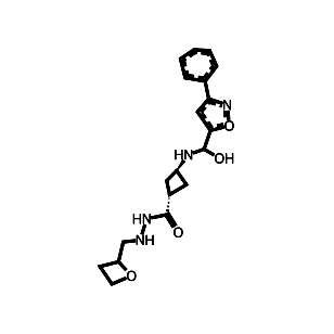 O=C(NNCC1CCO1)[C@H]1C[C@H](NC(O)c2cc(-c3ccccc3)no2)C1